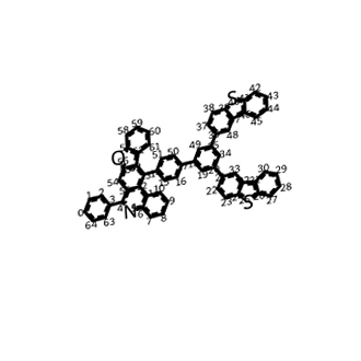 c1ccc(-c2nc3ccccc3c3c(-c4ccc(-c5cc(-c6ccc7sc8ccccc8c7c6)cc(-c6ccc7sc8ccccc8c7c6)c5)cc4)c4c(cc23)oc2ccccc24)cc1